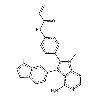 C=CC(=O)Nc1ccc(-c2c(-c3ccc4cc[nH]c4c3)c3c(N)ncnc3n2C)cc1